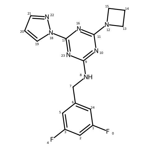 Fc1cc(F)cc(CNc2nc(N3CCC3)nc(-n3cccn3)n2)c1